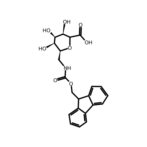 O=C(NC[C@@H]1OC(C(=O)O)[C@H](O)[C@H](O)[C@@H]1O)OCC1c2ccccc2-c2ccccc21